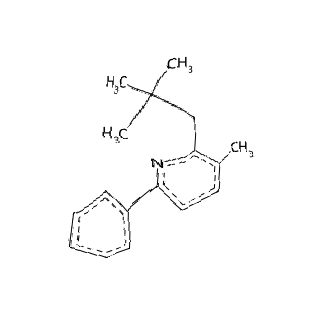 Cc1ccc(-c2ccccc2)nc1CC(C)(C)C